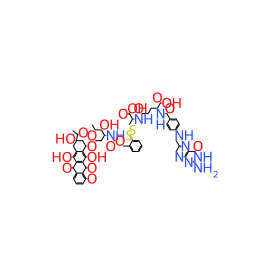 COc1cccc2c1C(=O)c1c(O)c3c(c(O)c1C2=O)C[C@@](O)(C(C)=O)CC3OC1CC(NC(=O)OCc2ccccc2SSCC(NC(=O)CCC(NC(=O)c2ccc(NCc3cnc4nc(N)[nH]c(=O)c4n3)cc2)C(=O)O)C(=O)O)C(O)C(C)O1